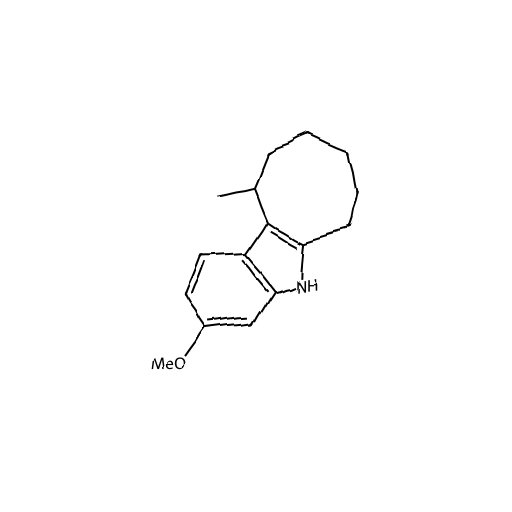 COc1ccc2c3c([nH]c2c1)CCCCCC3C